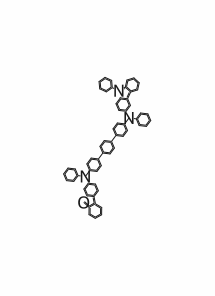 c1ccc(N(c2ccc(-c3ccc(-c4ccc(N(c5ccccc5)c5ccc6c(c5)c5ccccc5n6-c5ccccc5)cc4)cc3)cc2)c2ccc3c(c2)oc2ccccc23)cc1